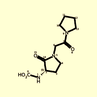 O=C(O)N[C@H]1CCN(CC(=O)N2CCCC2)C1=O